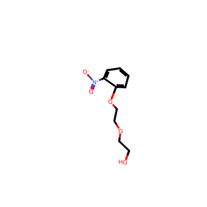 O=[N+]([O-])c1ccccc1OCCOCCO